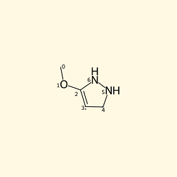 COC1=[C]CNN1